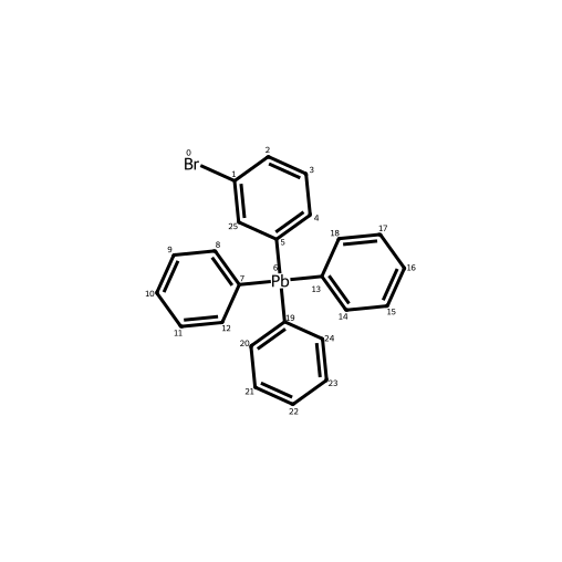 Brc1ccc[c]([Pb]([c]2ccccc2)([c]2ccccc2)[c]2ccccc2)c1